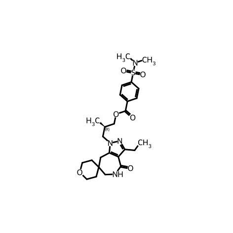 CCc1nn(C[C@@H](C)COC(=O)c2ccc(S(=O)(=O)N(C)C)cc2)c2c1C(=O)NCC1(CCOCC1)C2